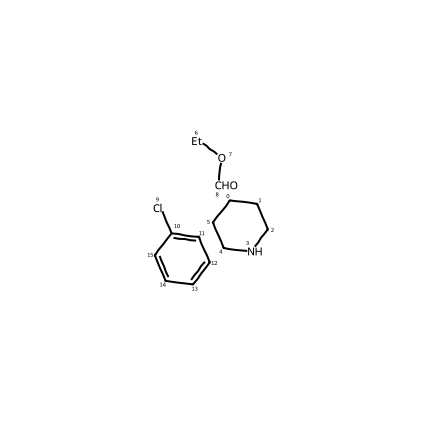 C1CCNCC1.CCOC=O.Clc1ccccc1